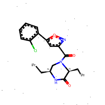 CC(C)C[C@H]1CN(C(=O)c2cc(-c3ccccc3Cl)on2)[C@@H](CC(C)C)C(=O)N1